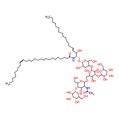 CCCCCCCC/C=C\CCCCCCCCCCCCCCCC(=O)N[C@@H](CO[C@@H]1OC(CO)[C@@H](O[C@@H]2OC(CO[C@@H]3OC(CO)[C@@H](O[C@@H]4OC(CO)[C@H](O)[C@H](O)C4O)[C@H](O)C3NC(C)=O)[C@H](O)[C@H](O[C@H]3OC(CO)[C@H](O)[C@H](O)C3O)C2O)[C@H](O)C1O)[C@H](O)/C=C/CCCCCCCCCCCCC